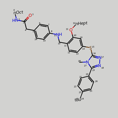 CCCCCCCCNC(=O)Cc1ccc(NCc2ccc(Sc3nnc(-c4ccc(C(C)(C)C)cc4)n3C)cc2OCCCCCCC)cc1